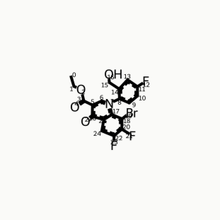 CCOC(=O)c1cn(-c2ccc(F)cc2CO)c2c(Br)c(F)c(F)cc2c1=O